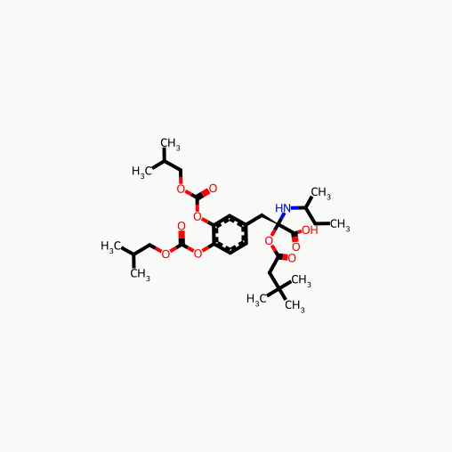 CCC(C)N[C@@](Cc1ccc(OC(=O)OCC(C)C)c(OC(=O)OCC(C)C)c1)(OC(=O)CC(C)(C)C)C(=O)O